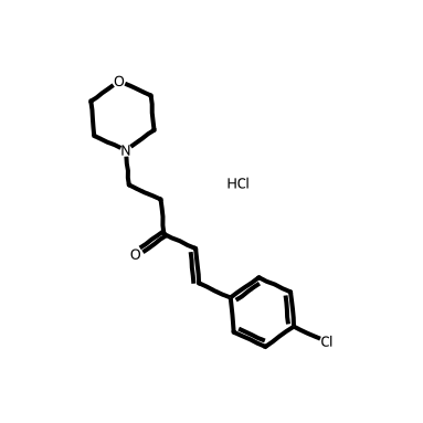 Cl.O=C(C=Cc1ccc(Cl)cc1)CCN1CCOCC1